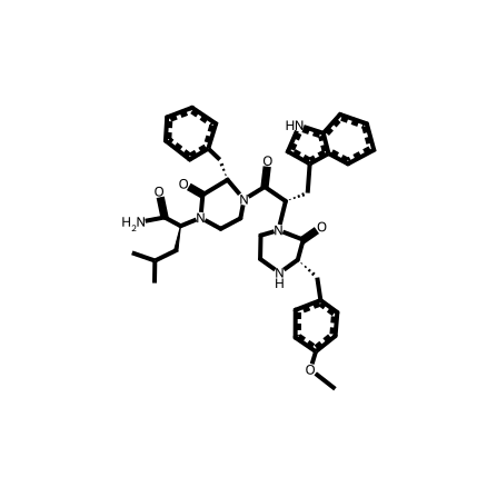 COc1ccc(C[C@@H]2NCCN([C@@H](Cc3c[nH]c4ccccc34)C(=O)N3CCN([C@@H](CC(C)C)C(N)=O)C(=O)[C@@H]3Cc3ccccc3)C2=O)cc1